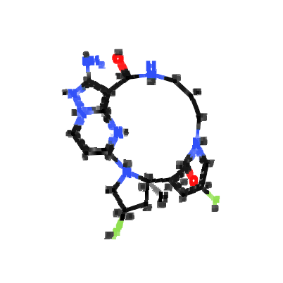 Nc1nn2ccc3nc2c1C(=O)NCCCn1cc(F)cc(c1=O)[C@H]1C[C@@H](F)CN31